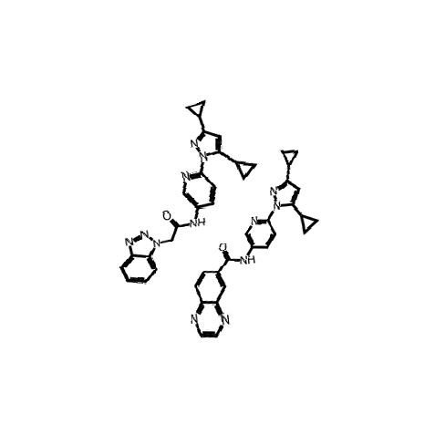 O=C(Cn1nnc2ccccc21)Nc1ccc(-n2nc(C3CC3)cc2C2CC2)nc1.O=C(Nc1ccc(-n2nc(C3CC3)cc2C2CC2)nc1)c1ccc2nccnc2c1